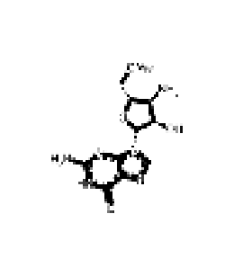 COC[C@H]1O[C@@H](n2cnc3c(=O)[nH]c(N)nc32)[C@H](O)[C@@H]1N